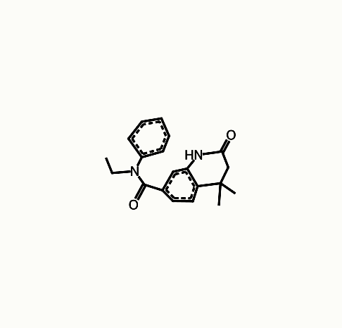 CCN(C(=O)c1ccc2c(c1)NC(=O)CC2(C)C)c1ccccc1